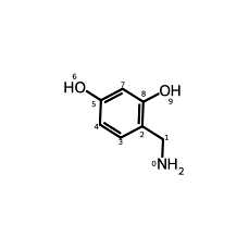 NCc1ccc(O)cc1O